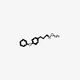 CCCON=CCCc1ccc(Oc2ccccc2)cc1